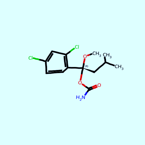 CO[C@](CC(C)C)(OC(N)=O)c1ccc(Cl)cc1Cl